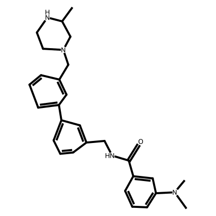 CC1CN(Cc2cccc(-c3cccc(CNC(=O)c4cccc(N(C)C)c4)c3)c2)CCN1